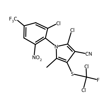 Cc1c(SC(F)(Cl)Cl)c(C#N)c(Cl)n1-c1c(Cl)cc(C(F)(F)F)cc1[N+](=O)[O-]